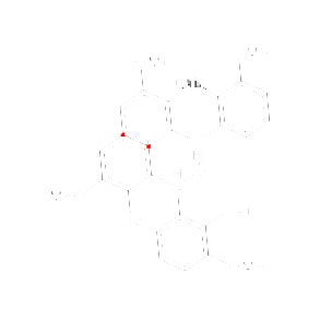 COc1cccc([SiH](O[SiH](c2cccc(OC)c2C(C)(C)C)c2cccc(OC)c2C(C)(C)C)c2cccc(OC)c2C(C)(C)C)c1C(C)(C)C